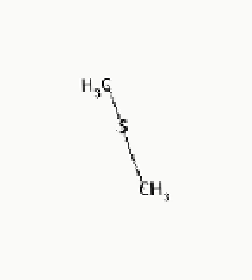 CCCCCCCCCCCCCCCCCCCCC[CH]SCCCCCCCCCCCCCCC